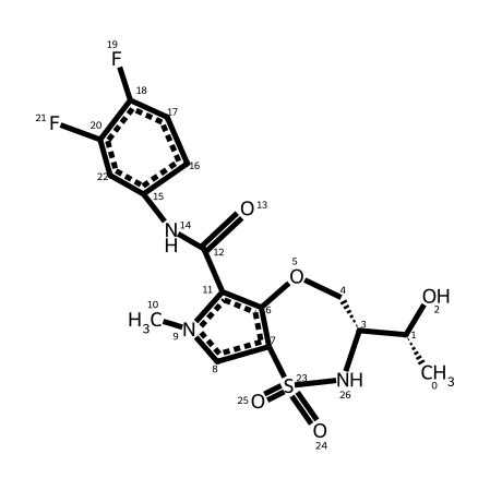 C[C@@H](O)[C@H]1COc2c(cn(C)c2C(=O)Nc2ccc(F)c(F)c2)S(=O)(=O)N1